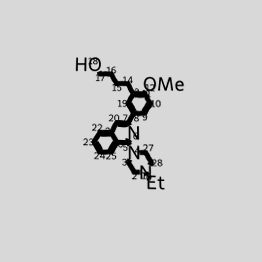 CCN1CCN(c2nc(-c3ccc(OC)c(CCCCO)c3)cc3ccccc23)CC1